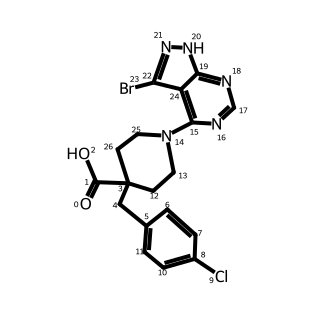 O=C(O)C1(Cc2ccc(Cl)cc2)CCN(c2ncnc3[nH]nc(Br)c23)CC1